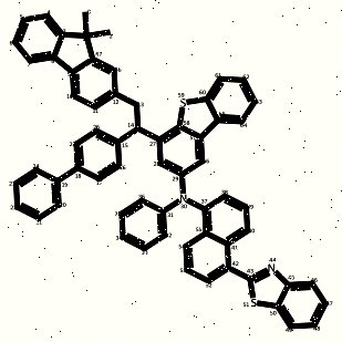 CC1(C)c2ccccc2-c2ccc(CC(c3ccc(-c4ccccc4)cc3)c3cc(N(c4ccccc4)c4cccc5c(-c6nc7ccccc7s6)cccc45)cc4c3sc3ccccc34)cc21